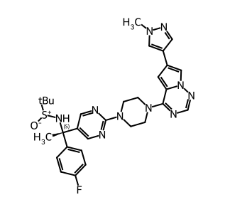 Cn1cc(-c2cc3c(N4CCN(c5ncc([C@@](C)(N[S+]([O-])C(C)(C)C)c6ccc(F)cc6)cn5)CC4)ncnn3c2)cn1